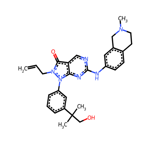 C=CCn1c(=O)c2cnc(Nc3ccc4c(c3)CN(C)CC4)nc2n1-c1cccc(C(C)(C)CO)c1